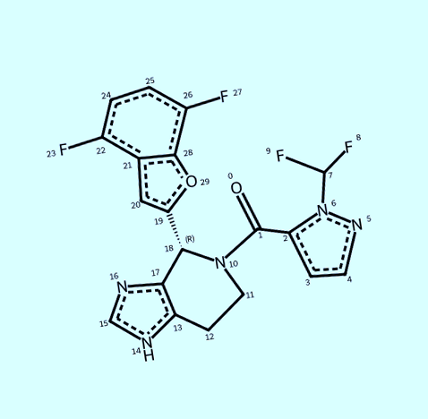 O=C(c1ccnn1C(F)F)N1CCc2[nH]cnc2[C@@H]1c1cc2c(F)ccc(F)c2o1